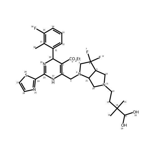 CCOC(=O)C1=C(CN2CC(F)(F)C3CN(CCC(C)(C)C(O)O)CC32)NC(c2nccs2)=NC1c1cccc(F)c1C